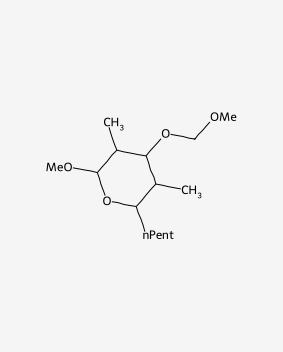 CCCCCC1OC(OC)C(C)C(OCOC)C1C